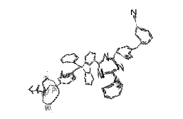 C[C@@H]1C[C@@H]2C[C@H](C)C[C@](c3ccc(C4(c5ccccc5)c5ccccc5-c5c(-c6nc(-c7ccccc7)nc(-c7ccc(-c8cccc(C#N)c8)cc7)n6)cccc54)cc3)(C1)C2